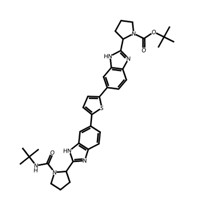 CC(C)(C)NC(=O)N1CCCC1c1nc2ccc(-c3ccc(-c4ccc5nc(C6CCCN6C(=O)OC(C)(C)C)[nH]c5c4)s3)cc2[nH]1